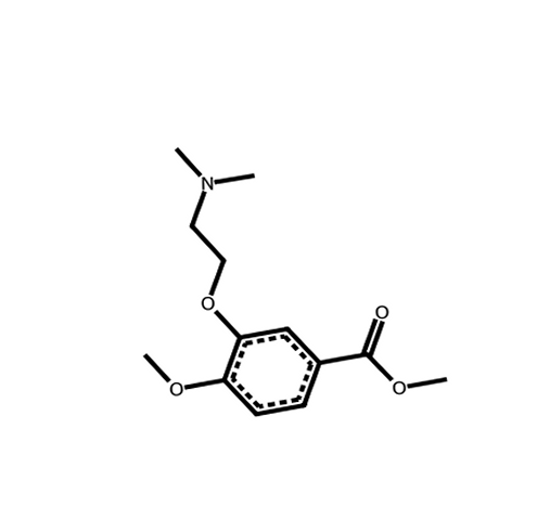 COC(=O)c1ccc(OC)c(OCCN(C)C)c1